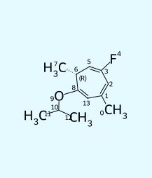 CC1=CC(F)=C[C@@H](C)C(OC(C)C)=C1